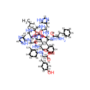 CC(C)C[C@H](NC(=O)[C@H](Cc1c[nH]cn1)NC(=O)[C@H](Cc1ccccc1)NC(=O)[C@@H](N)Cc1ccccc1)C(=O)N[C@@H](Cc1c[nH]cn1)C(=O)N[C@@H](Cc1ccccc1)C(=O)N[C@@H](Cc1c[nH]cn1)C(=O)N[C@@H](Cc1ccc(O)cc1)C(=O)O